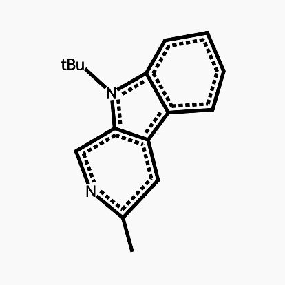 Cc1cc2c3ccccc3n(C(C)(C)C)c2cn1